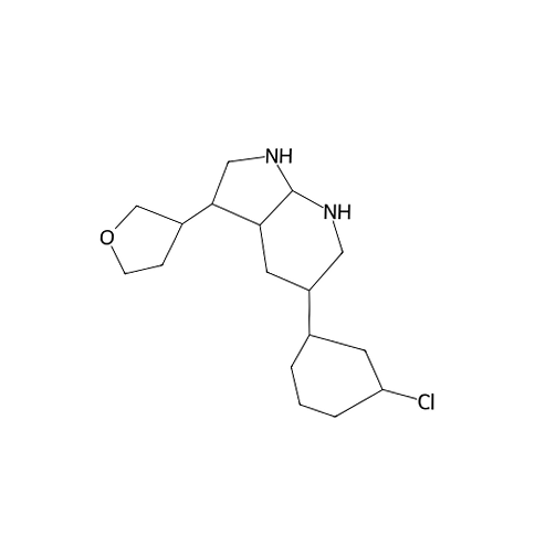 ClC1CCCC(C2CNC3NCC(C4CCOC4)C3C2)C1